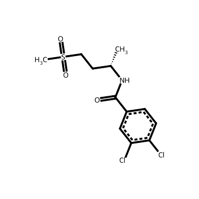 C[C@@H](CCS(C)(=O)=O)NC(=O)c1ccc(Cl)c(Cl)c1